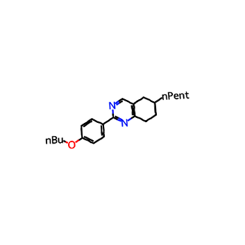 CCCCCC1CCc2nc(-c3ccc(OCCCC)cc3)ncc2C1